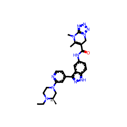 CCN1CCN(c2cc(-c3n[nH]c4ccc(NC(=O)C5=C(C)N(C)c6nnnn6C5)cc34)ccn2)C[C@H]1C